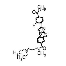 CCN(CC)CCCN(C)C(=O)c1ccc2c(c1)sc1nc(-c3ccc(C(=O)NC)cc3F)cn12